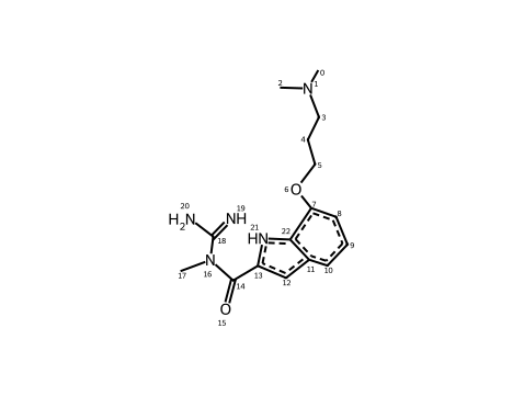 CN(C)CCCOc1cccc2cc(C(=O)N(C)C(=N)N)[nH]c12